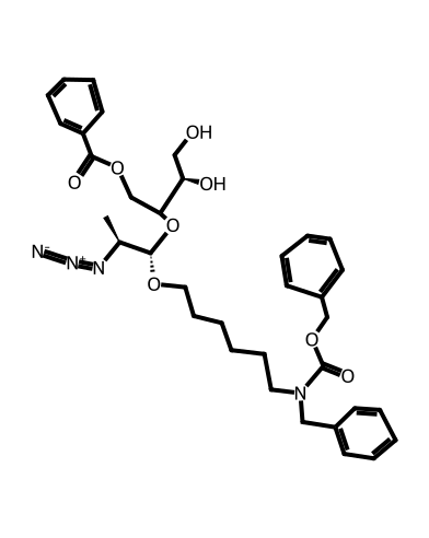 C[C@H](N=[N+]=[N-])[C@@H](OCCCCCCN(Cc1ccccc1)C(=O)OCc1ccccc1)OC(COC(=O)c1ccccc1)[C@H](O)CO